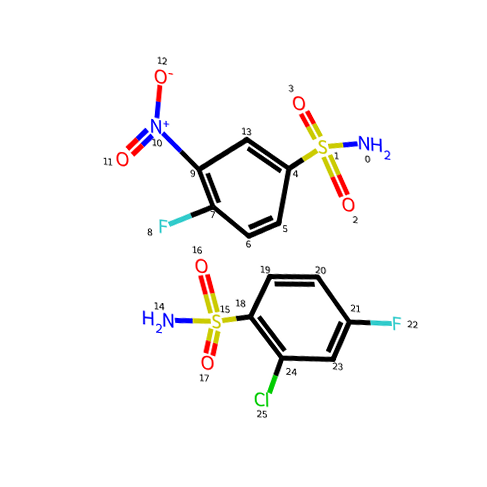 NS(=O)(=O)c1ccc(F)c([N+](=O)[O-])c1.NS(=O)(=O)c1ccc(F)cc1Cl